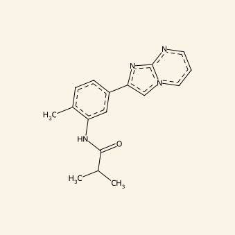 Cc1ccc(-c2cn3cccnc3n2)cc1NC(=O)C(C)C